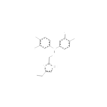 CCc1c[nH]c(COB(c2ccc(C)c(Cl)c2)c2ccc(C)c(Cl)c2)n1